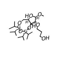 CO[C@@H]1O[C@@H]2CO[Si](C(C)C)(C(C)C)O[Si](C(C)C)(C(C)C)O[C@H]2[C@H]1OCCCO